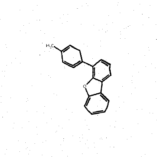 CC1=CCC(c2cccc3c2oc2ccccc23)=C=C1